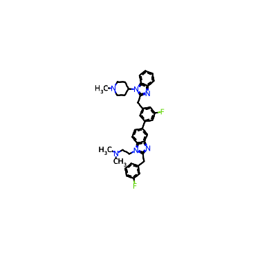 CN(C)CCn1c(Cc2cccc(F)c2)nc2cc(-c3cc(F)cc(Cc4nc5ccccc5n4C4CCN(C)CC4)c3)ccc21